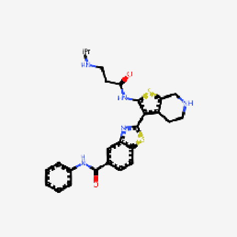 CC(C)NCCC(=O)Nc1sc2c(c1-c1nc3cc(C(=O)Nc4ccccc4)ccc3s1)CCNC2